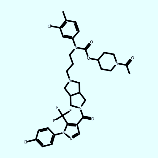 CC(=O)N1CCC(OC(=O)N(CCCN2CC3CN(C(=O)c4cnn(-c5ccc(Cl)cc5)c4C(F)(F)F)CC3C2)c2ccc(C)c(Cl)c2)CC1